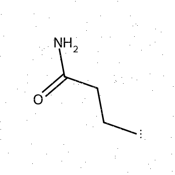 [C]CCC(N)=O